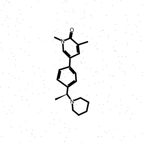 Cc1cc(-c2ccc([C@H](C)N3CCCCC3)cc2)cn(C)c1=O